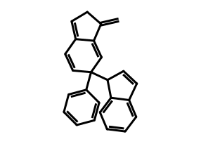 C=C1CC=C2C=CC(c3ccccc3)(C3C=Cc4ccccc43)C=C12